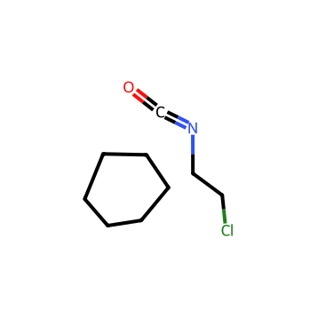 C1CCCCC1.O=C=NCCCl